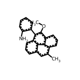 COc1c(-c2ccccc2N)c2cccc3cc(C)c4cccc1c4c32